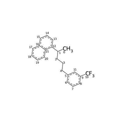 CC(CCCc1cccc(C(F)(F)F)c1)c1cccc2ccccc12